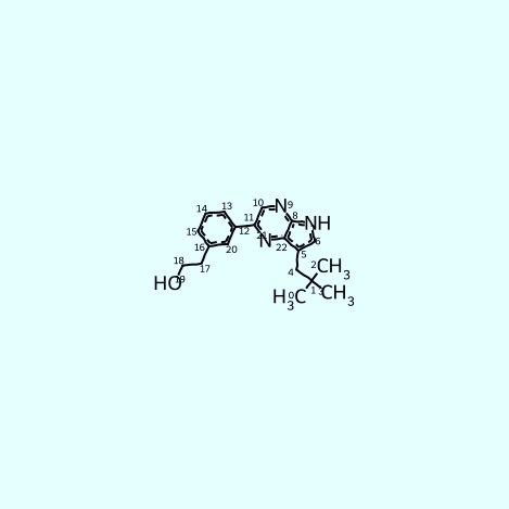 CC(C)(C)Cc1c[nH]c2ncc(-c3cccc(CCO)c3)nc12